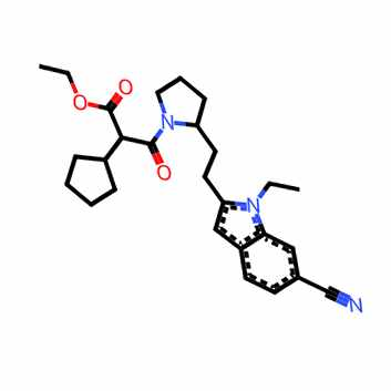 CCOC(=O)C(C(=O)N1CCCC1CCc1cc2ccc(C#N)cc2n1CC)C1CCCC1